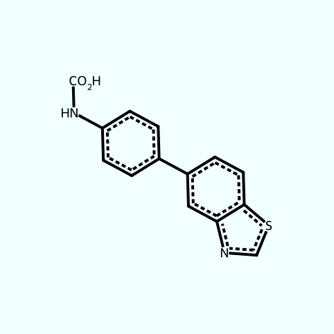 O=C(O)Nc1ccc(-c2ccc3scnc3c2)cc1